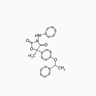 CC(Oc1ccc(C2(C)OC(=O)N(Nc3ccccc3)C2=O)cc1)c1ccccc1